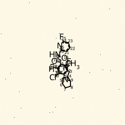 CN(C)CC1CC2CCC1N2c1cc(F)c(S(=O)(=O)Nc2cccc(F)n2)c(F)c1Cl